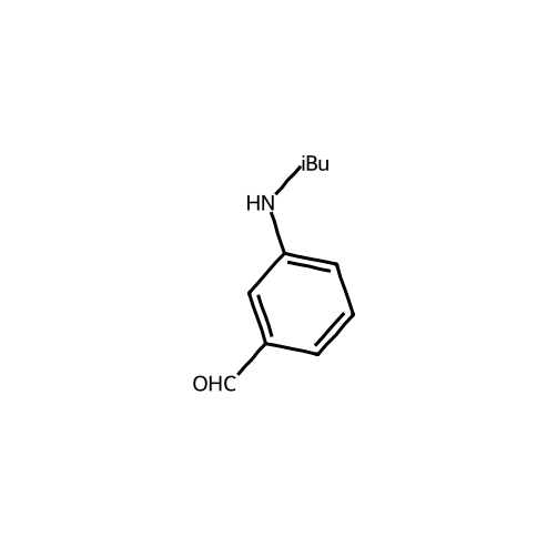 CCC(C)Nc1cccc(C=O)c1